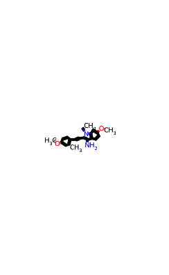 CCn1c(C#Cc2ccc(OC)cc2C)c(N)c2ccc(OC)cc21